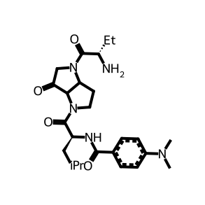 CC[C@H](N)C(=O)N1CC(=O)C2C1CCN2C(=O)[C@H](CC(C)C)NC(=O)c1ccc(N(C)C)cc1